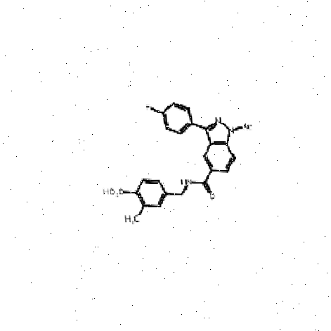 CC(=O)n1nc(-c2ccc(F)cc2)c2cc(C(=O)NCc3ccc(C(=O)O)c(C)c3)ccc21